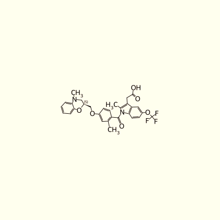 Cc1cc(OC[C@@H]2CN(C)c3ccccc3O2)ccc1C(=O)n1c(C)c(CC(=O)O)c2cc(OC(F)(F)F)ccc21